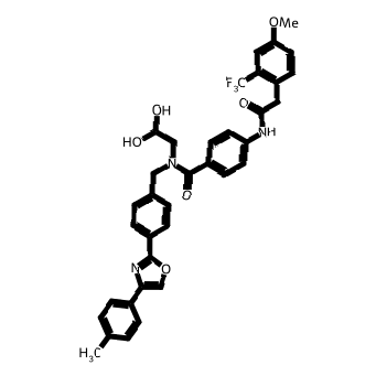 COc1ccc(CC(=O)Nc2ccc(C(=O)N(Cc3ccc(-c4nc(-c5ccc(C)cc5)co4)cc3)CC(O)O)cc2)c(C(F)(F)F)c1